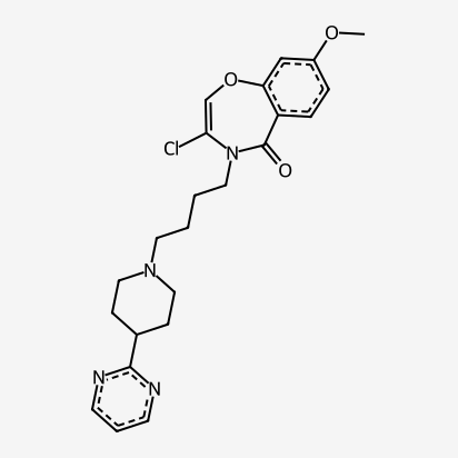 COc1ccc2c(c1)OC=C(Cl)N(CCCCN1CCC(c3ncccn3)CC1)C2=O